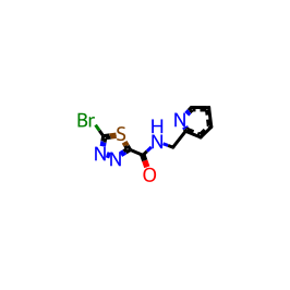 O=C(NCc1ccccn1)c1nnc(Br)s1